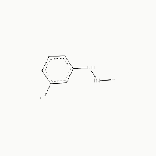 Clc1cccc(NNBr)c1